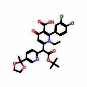 CCn1c(C(C(=O)OC(C)(C)C)c2ccc(C3(C)OCCO3)cn2)cc(=O)c(C(=O)O)c1-c1ccc(Cl)c(Cl)c1